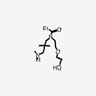 CCC(=O)N(CCOCCO)CC(C)(C)CN(C)CC